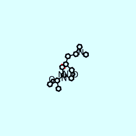 c1ccc(-c2nc(-c3cc(-c4ccccc4)c4c(c3)oc3ccccc34)nc(-c3cccc4oc5ccc(-c6cccc(-c7cccc(-c8ccc9c(c8)c8ccccc8n9-c8ccccc8)c7)c6)cc5c34)n2)cc1